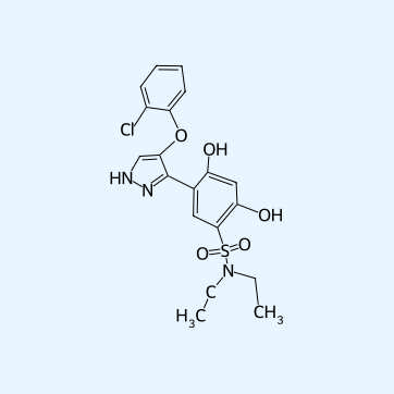 CCN(CC)S(=O)(=O)c1cc(-c2n[nH]cc2Oc2ccccc2Cl)c(O)cc1O